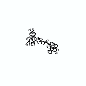 C[C@H](OC(=O)CC(NC(=O)OC(C)(C)C)C(=O)OC(C)(C)C)C(=O)ON1C(=O)CCC1=O